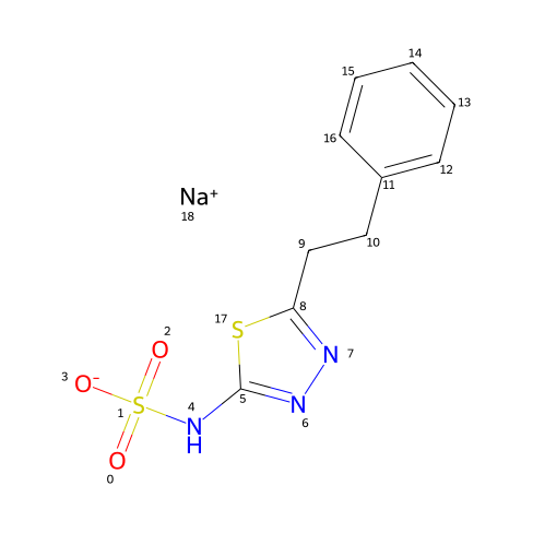 O=S(=O)([O-])Nc1nnc(CCc2ccccc2)s1.[Na+]